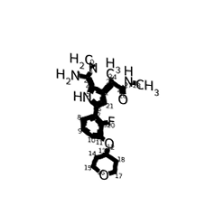 C=N/C(N)=c1/[nH]c(-c2cccc(OC3CCOCC3)c2F)c/c1=C(/C)C(=O)NC